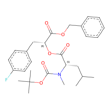 CC(C)C[C@@H](C(=O)O[C@H](Cc1ccc(F)cc1)C(=O)OCc1ccccc1)N(C)C(=O)OC(C)(C)C